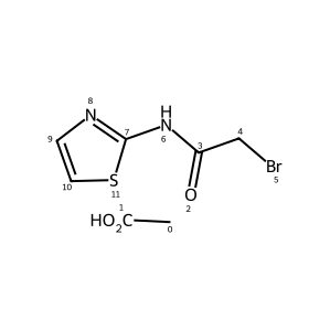 CC(=O)O.O=C(CBr)Nc1nccs1